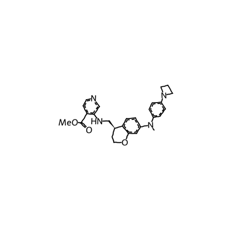 COC(=O)c1ccncc1NC[C@@H]1CCOc2cc(N(C)c3ccc(N4CCC4)cc3)ccc21